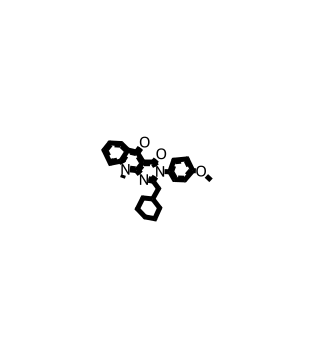 COc1ccc(-n2c(CC3CCCCC3)nc3c(c(=O)c4ccccc4n3C)c2=O)cc1